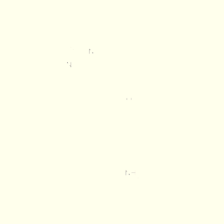 Cc1cc(N)ccc1Oc1ccc2nsnc2c1